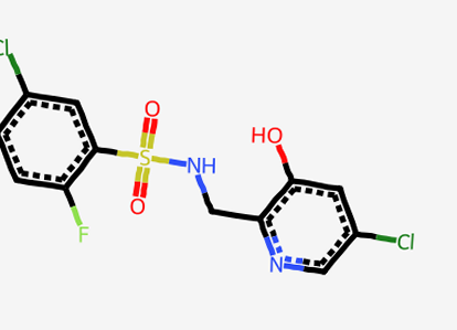 O=S(=O)(NCc1ncc(Cl)cc1O)c1cc(Cl)ccc1F